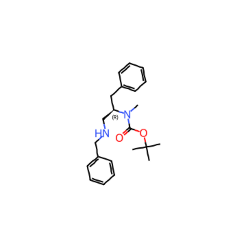 CN(C(=O)OC(C)(C)C)[C@@H](CNCc1ccccc1)Cc1ccccc1